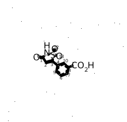 O=C1C=C(c2cccc(C(=O)O)c2)S(=O)(=O)N1